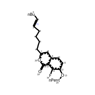 CCCC/C=C/CCCCc1cc2ccc(OCCCCC)c(F)c2c(=O)o1